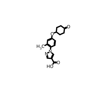 Cc1cc(OC2CCC(=O)CC2)ccc1-n1cc(C(=O)O)cn1